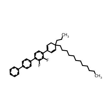 CCCCCCCCCCCCC1(CCC)C=CC(c2ccc(-c3ccc(-c4ccccc4)cc3)c(F)c2F)=CC1